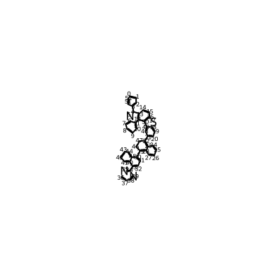 c1ccc(-c2nc3ccccc3c3c2ccc2sc4ccc(C5=c6ccccc6=C(c6ccc(-c7ncccn7)c7ccccc67)CC5)cc4c23)cc1